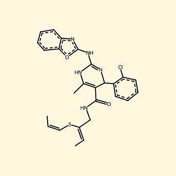 C/C=C\S/C(=C\C)CNC(=O)C1=C(C)NC(Nc2nc3ccccc3o2)=NC1c1ccccc1Cl